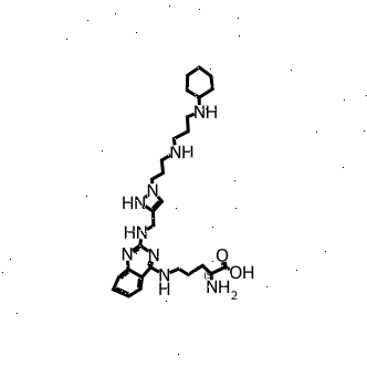 N[C@@H](CCCNc1nc(NCc2cn(CCCNCCCNC3CCCCC3)[nH]2)nc2ccccc12)C(=O)O